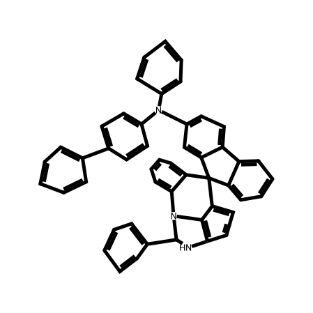 c1ccc(-c2ccc(N(c3ccccc3)c3ccc4c(c3)C3(c5ccccc5-4)c4ccccc4N4c5c(cccc53)NC4c3ccccc3)cc2)cc1